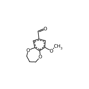 COc1cc(C=O)cc2c1OCCCO2